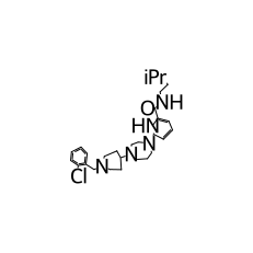 CC(C)CCNC(=O)C1=CC=CC(N2CCCN(C3CCN(Cc4ccccc4Cl)CC3)CC2)N1